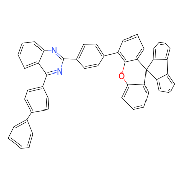 c1ccc(-c2ccc(-c3nc(-c4ccc(-c5cccc6c5Oc5ccccc5C65c6ccccc6-c6ccccc65)cc4)nc4ccccc34)cc2)cc1